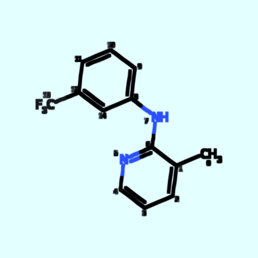 Cc1cccnc1Nc1cccc(C(F)(F)F)c1